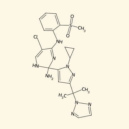 CC(C)(c1cc(C2(N)N=C(Nc3ccccc3S(C)(=O)=O)C(Cl)=CN2)n(C2CC2)n1)n1nccn1